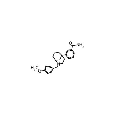 COc1ccc(CN2CCC3(c4cccc(C(N)=O)c4)CCCC2C3)cc1